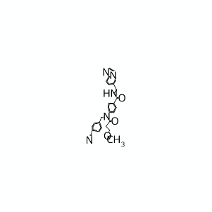 COCCC(=O)N(Cc1ccc(C#N)cc1)c1ccc(C(=O)NCc2ccc3nccn3c2)cc1